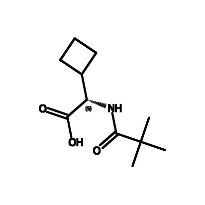 CC(C)(C)C(=O)N[C@H](C(=O)O)C1CCC1